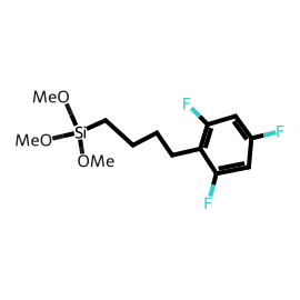 CO[Si](CCCCc1c(F)cc(F)cc1F)(OC)OC